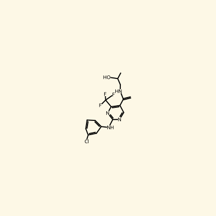 C=C(NCC(C)O)c1cnc(Nc2cccc(Cl)c2)nc1C(F)(F)F